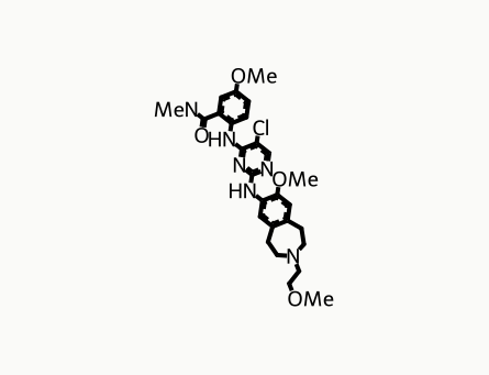 CNC(=O)c1cc(OC)ccc1Nc1nc(Nc2cc3c(cc2OC)CCN(CCOC)CC3)ncc1Cl